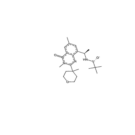 Cc1cc([C@@H](C)N[S@+]([O-])C(C)(C)C)c2nc(C3(C)CCOCC3)n(C)c(=O)c2c1